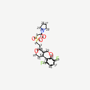 O=C(CS(=O)(=O)CC[C@@H]1OCCC2c3c(F)ccc(F)c3OCC21)N1CCCC1